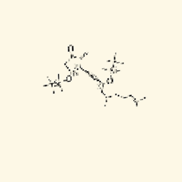 C=C1C(=O)C[C@@H](O[Si](C)(C)C(C)(C)C)[C@@H]1C#C[C@H](CC(C)CCC=C(C)C)O[Si](C)(C)C(C)(C)C